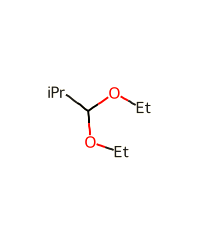 [CH2]C(C)C(OCC)OCC